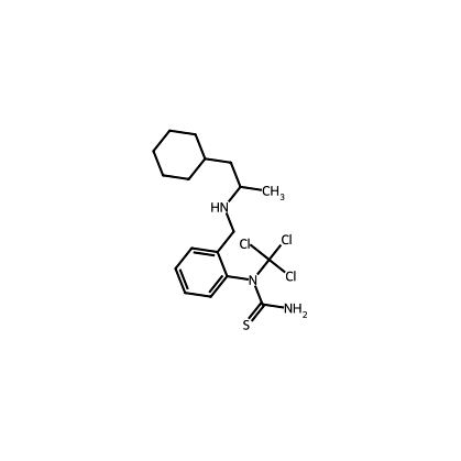 CC(CC1CCCCC1)NCc1ccccc1N(C(N)=S)C(Cl)(Cl)Cl